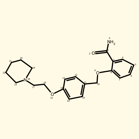 NC(=O)c1ccccc1OCc1ccc(OCCN2CCCCC2)cc1